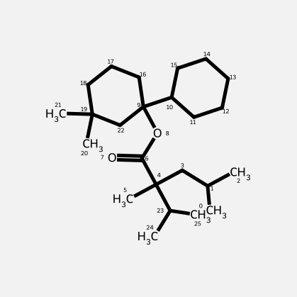 CC(C)CC(C)(C(=O)OC1(C2CCCCC2)CCCC(C)(C)C1)C(C)C